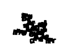 C=CCc1cc(Oc2c(OCCC)cc(C(=O)OCCC)cc2OCCC)c(Cl)cc1OCCC